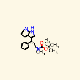 CN(CC[C@H](c1ccccc1)c1c[nH]c2ncccc12)C(=O)OC(C)(C)C